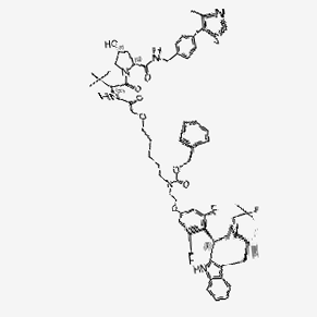 Cc1ncsc1-c1ccc(CNC(=O)[C@@H]2C[C@@H](O)CN2C(=O)[C@@H](NC(=O)COCCCCCN(CCOc2cc(F)c([C@@H]3c4[nH]c5ccccc5c4C[C@@H](C)N3CC(C)(C)F)c(F)c2)C(=O)OCc2ccccc2)C(C)(C)C)cc1